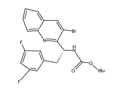 CC(C)(C)OC(=O)N[C@H](Cc1cc(F)cc(F)c1)c1nc2ccccc2cc1Br